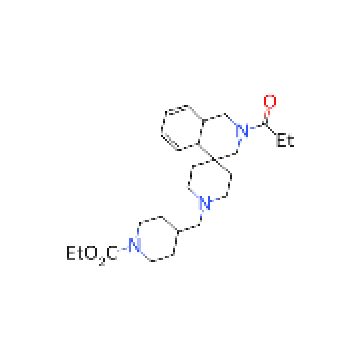 CCOC(=O)N1CCC(CN2CCC3(CC2)CN(C(=O)CC)CC2C=CC=CC23)CC1